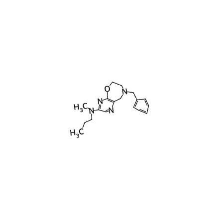 CCCN(C)c1cnc2c(n1)OCCN(Cc1ccccc1)C2